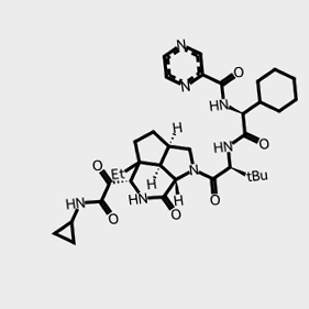 CCC12CC[C@H]3CN(C(=O)[C@@H](NC(=O)[C@@H](NC(=O)c4cnccn4)C4CCCCC4)C(C)(C)C)[C@H](C(=O)N[C@@H]1C(=O)C(=O)NC1CC1)[C@H]32